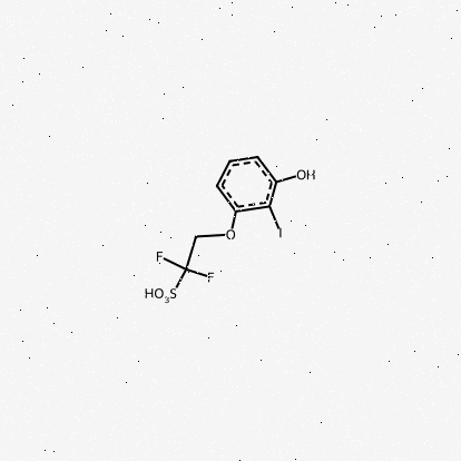 O=S(=O)(O)C(F)(F)COc1cccc(O)c1I